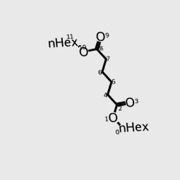 CCCCCCOC(=O)CCCCC(=O)OCCCCCC